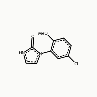 COc1ccc(Cl)cc1-n1cc[nH]c1=O